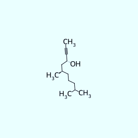 CC#C[C@H](O)C[C@H](C)CCCC(C)C